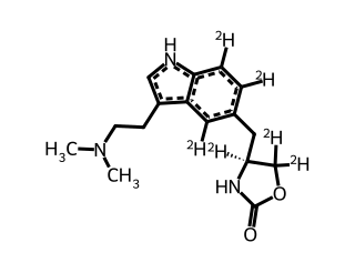 [2H]c1c(C[C@]2([2H])NC(=O)OC2([2H])[2H])c([2H])c2c(CCN(C)C)c[nH]c2c1[2H]